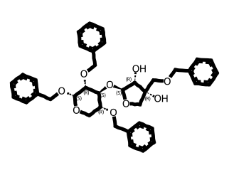 O[C@H]1[C@H](O[C@@H]2[C@@H](OCc3ccccc3)[C@@H](OCc3ccccc3)OC[C@H]2OCc2ccccc2)OC[C@]1(O)COCc1ccccc1